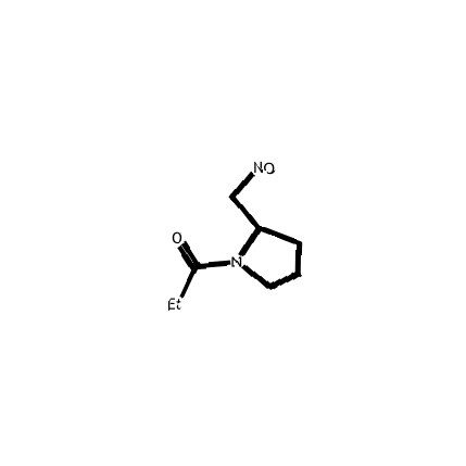 CCC(=O)N1CCCC1CN=O